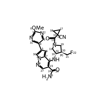 COc1ncc(-c2cc3c(N[C@@H]4CN(C(=O)C5(C#N)CC5)C[C@H]4CF)c(C(N)=O)cnn3c2)cn1